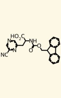 N#Cc1cncc(CC(NC(=O)OCC2c3ccccc3-c3ccccc32)C(=O)O)n1